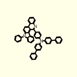 c1ccc(-c2ccc(N(c3ccc(-c4ccccc4)cc3)c3ccc(-c4nc5ccccc5c5ccc6c(c7ccccc7n6-c6ccccc6)c45)cc3)cc2)cc1